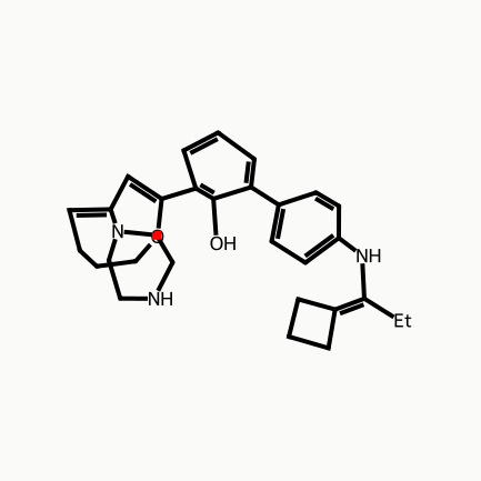 CCC(Nc1ccc(-c2cccc(/C3=C/C(N4CCNCC4)=C/CCCO3)c2O)cc1)=C1CCC1